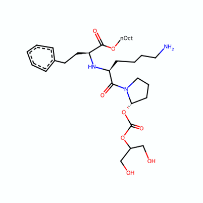 CCCCCCCCOC(=O)[C@H](CCc1ccccc1)N[C@@H](CCCCN)C(=O)N1CCC[C@@H]1OC(=O)OC(CO)CO